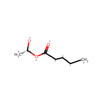 CCCCC(=O)O[C@H](C)[O]